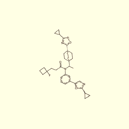 CC(N(C(=O)CCC1(F)CCC1)c1cccc(-c2cnc(C3CC3)o2)c1)C12CCC(c3nc(C4CC4)no3)(CC1)CC2